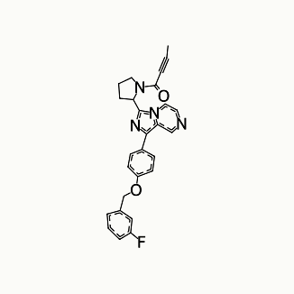 CC#CC(=O)N1CCCC1c1nc(-c2ccc(OCc3cccc(F)c3)cc2)c2cnccn12